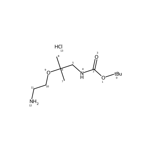 CC(C)(C)OC(=O)NCC(C)(C)OCCN.Cl